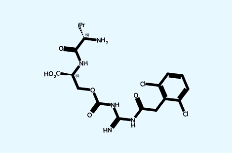 CC(C)[C@H](N)C(=O)N[C@@H](COC(=O)NC(=N)NC(=O)Cc1c(Cl)cccc1Cl)C(=O)O